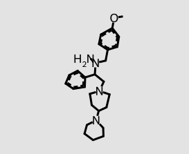 COc1ccc(CN(N)C(CN2CCC(N3CCCCC3)CC2)c2ccccc2)cc1